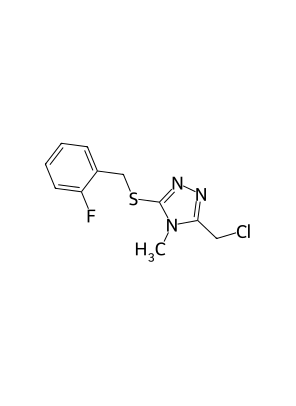 Cn1c(CCl)nnc1SCc1ccccc1F